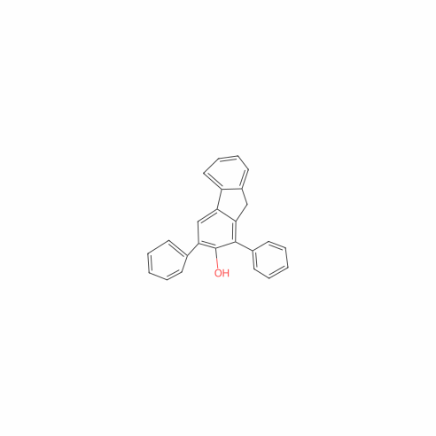 Oc1c(-c2ccccc2)cc2c(c1-c1ccccc1)Cc1ccccc1-2